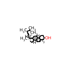 CC(C)[C@H](C)/C=C/[C@@H](C)[C@H]1CC[C@H]2[C@@H]3CC=C4C[C@@H](O)CC[C@]4(C)[C@H]3CC[C@]12C